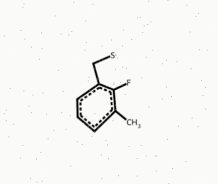 Cc1cccc(C[S])c1F